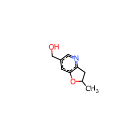 CC1Cc2ncc(CO)cc2O1